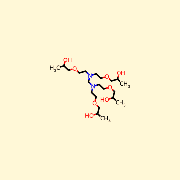 CC(O)COCCN(CCOCC(C)O)CN(CCOCC(C)O)CCOCC(C)O